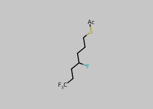 CC(=O)SCCCC(F)CCC(F)(F)F